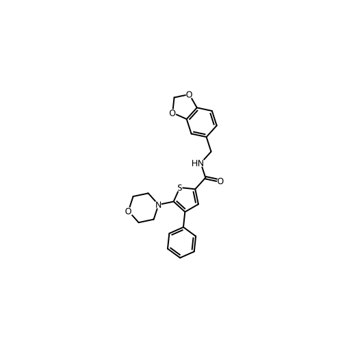 O=C(NCc1ccc2c(c1)OCO2)c1cc(-c2ccccc2)c(N2CCOCC2)s1